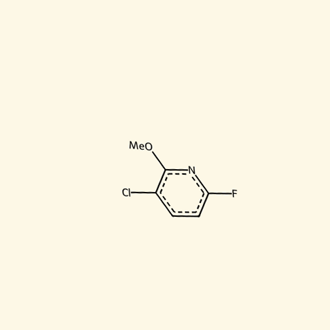 COc1nc(F)ccc1Cl